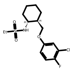 CCS(=O)(=O)N[C@@H]1CCCC[C@H]1COc1ccc(F)c(Cl)c1